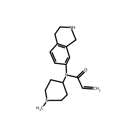 C=CC(=O)N(c1ccc2c(c1)CNCC2)C1CCN(C)CC1